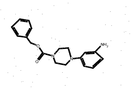 Nc1cccc(N2CCN(C(=O)OCc3ccccc3)CC2)c1